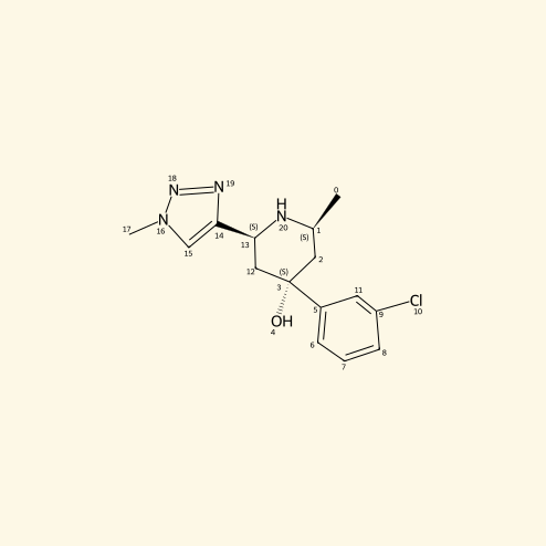 C[C@H]1C[C@@](O)(c2cccc(Cl)c2)C[C@@H](c2cn(C)nn2)N1